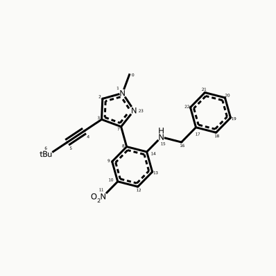 Cn1cc(C#CC(C)(C)C)c(-c2cc([N+](=O)[O-])ccc2NCc2ccccc2)n1